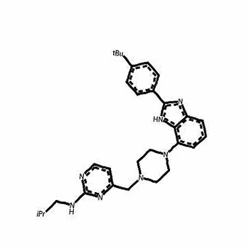 CC(C)CNc1nccc(CN2CCN(c3cccc4nc(-c5ccc(C(C)(C)C)cc5)[nH]c34)CC2)n1